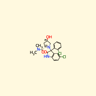 CN(C)C(=O)[C@@H]1C[C@@H](O)CN1C1(c2ccccc2Cl)C(=O)Nc2ccc(Cl)cc21